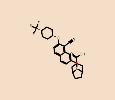 N#Cc1c(O[C@H]2CC[C@@H](C(F)(F)F)CC2)ccc2ccc(CN3C4CCC3CC(C(=O)O)C4)cc12